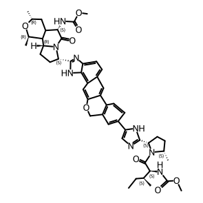 CC[C@H](C)[C@H](NC(=O)OC)C(=O)N1[C@@H](C)CC[C@H]1c1ncc(-c2ccc3c(c2)COc2cc4c(ccc5nc([C@@H]6CC[C@@H]7C8C(C[C@@H](C)O[C@@H]8C)[C@H](NC(=O)OC)C(=O)N76)[nH]c54)cc2-3)[nH]1